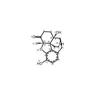 O=C1CC[C@]2(O)C3Cc4ccc(O)c5c4[C@]2(CCN3)[C@@H]1O5